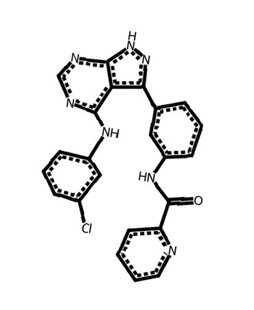 O=C(Nc1cccc(-c2n[nH]c3ncnc(Nc4cccc(Cl)c4)c23)c1)c1ccccn1